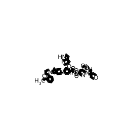 CC(C)c1ccccc1[C@@H]1CCCN1C1CC2(CCN(c3ccc(C(=O)NS(=O)(=O)c4cnc(NCC5(C#N)CCOCC5)c([N+](=O)[O-])c4)c(Oc4cnc5[nH]ccc5c4)c3)CC2)C1